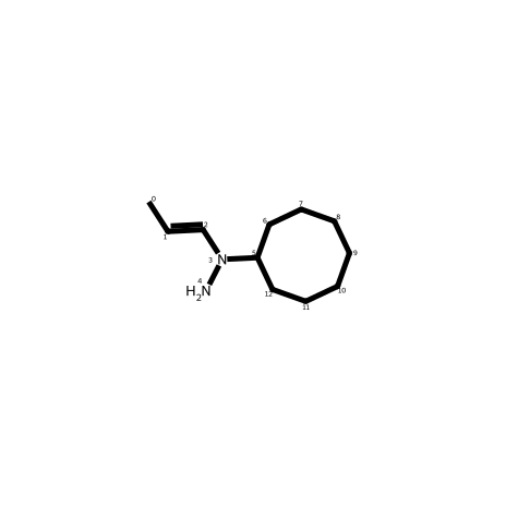 C/C=C/N(N)C1CCCCCCC1